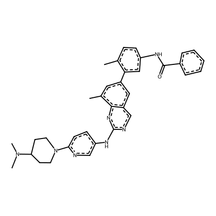 Cc1ccc(NC(=O)c2ccccc2)cc1-c1cc(C)c2nc(Nc3ccc(N4CCC(N(C)C)CC4)nc3)ncc2c1